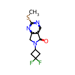 CSc1ncc2c(n1)CN(C1CC(F)(F)C1)C2=O